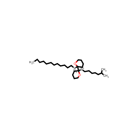 CCCCCCCCCCCC[SiH2]C1(C2([SiH2]CCCCCC(C)C)CCCCO2)CCCCO1